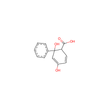 O=C(O)C1C=CC(O)=CC1(O)c1ccccc1